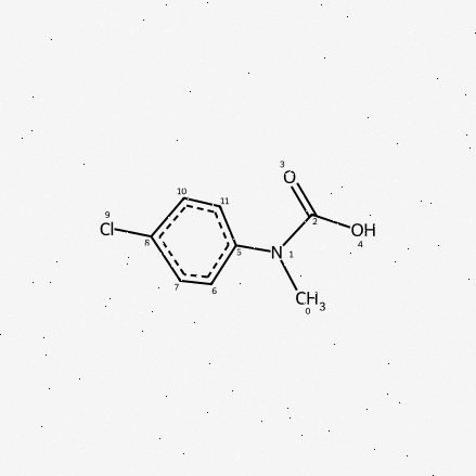 CN(C(=O)O)c1ccc(Cl)cc1